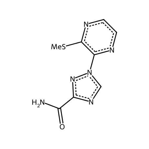 CSc1nccnc1-n1cnc(C(N)=O)n1